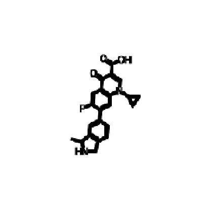 CC1NCc2ccc(-c3cc4c(cc3F)c(=O)c(C(=O)O)cn4C3CC3)cc21